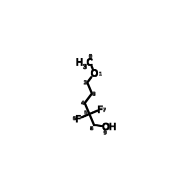 COCCCC(F)(F)CO